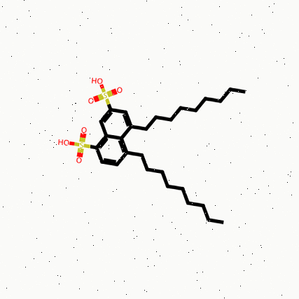 CCCCCCCCCc1ccc(S(=O)(=O)O)c2cc(S(=O)(=O)O)cc(CCCCCCCCC)c12